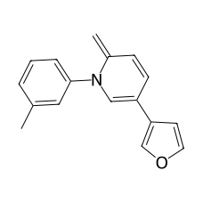 C=C1C=CC(c2ccoc2)=CN1c1cccc(C)c1